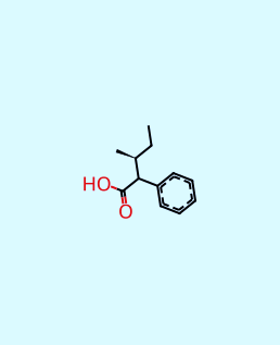 CC[C@H](C)C(C(=O)O)c1ccccc1